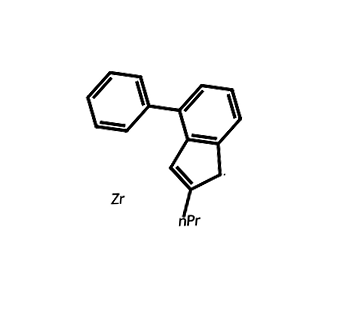 CCCC1=Cc2c(cccc2-c2ccccc2)[CH]1.[Zr]